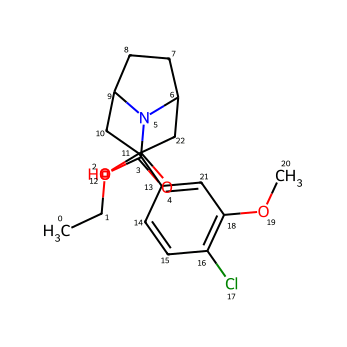 CCOC(=O)N1C2CCC1CC(O)(c1ccc(Cl)c(OC)c1)C2